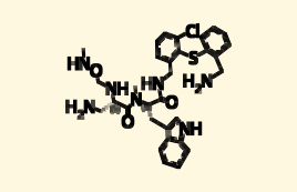 CNOCN[C@@H](CN)C(=O)N(C)[C@@H](Cc1c[nH]c2ccccc12)C(=O)NCc1cccc(Cl)c1Sc1ccccc1CN